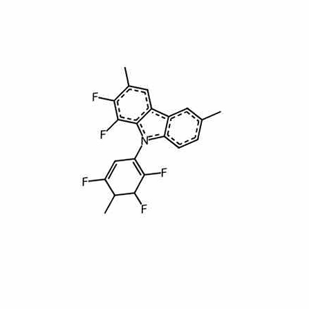 Cc1ccc2c(c1)c1cc(C)c(F)c(F)c1n2C1=C(F)C(F)C(C)C(F)=C1